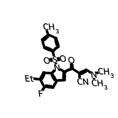 CCc1cc2c(cc1F)cc(C(=O)/C(C#N)=C/N(C)C)n2S(=O)(=O)c1ccc(C)cc1